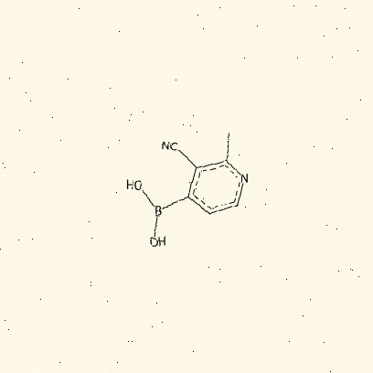 Cc1nccc(B(O)O)c1C#N